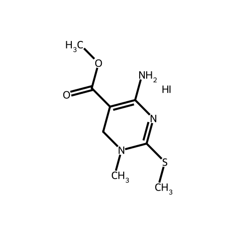 COC(=O)C1=C(N)N=C(SC)N(C)C1.I